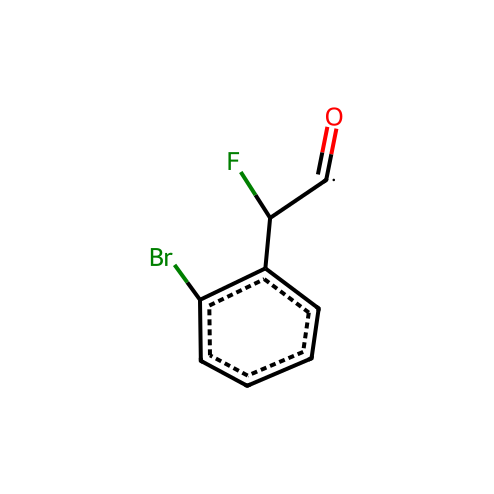 O=[C]C(F)c1ccccc1Br